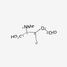 CNC(C(=O)O)C(C)OC=O